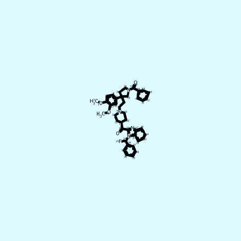 COc1ccc(C2(CCN3CCC(C(=O)c4nc5ccccc5n4C(F)c4ccccc4)CC3)CCN(C(=O)c3ccccc3)C2)cc1OC